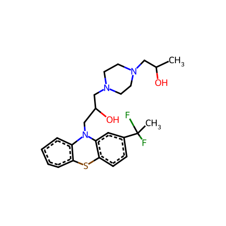 CC(O)CN1CCN(CC(O)CN2c3ccccc3Sc3ccc(C(C)(F)F)cc32)CC1